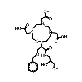 O=C(O)CN1CCN(CC(=O)O)CCN(C(COCc2ccccc2)C(=O)NCC(O)CO)CCN(CC(=O)O)CC1